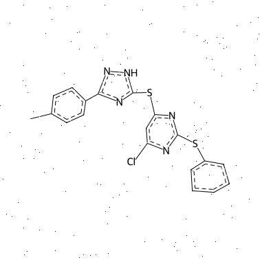 Cc1ccc(-c2n[nH]c(Sc3cc(Cl)nc(Sc4ccccc4)n3)n2)cc1